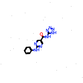 O=C(Nc1nnn[nH]1)c1cnc(Nc2ccccc2)nc1